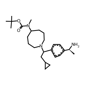 C[C@H](N)c1ccc(C(CC2CC2)N2CCCC(N(C)C(=O)OC(C)(C)C)CCC2)cc1